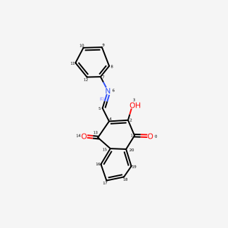 O=C1C(O)=C(/C=N/c2ccccc2)C(=O)c2ccccc21